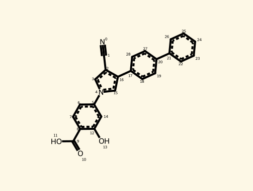 N#Cc1cn(-c2ccc(C(=O)O)c(O)c2)cc1-c1ccc(-c2ccccc2)cc1